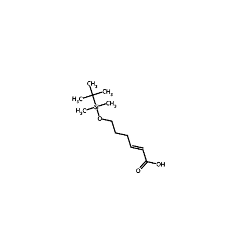 CC(C)(C)[Si](C)(C)OCCCC=CC(=O)O